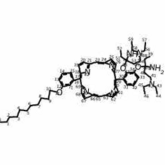 CCCCCCCCCCCOc1cccc(C2=C3C=CC(=N3)C=C3C=CC(=N3)C(c3cccc(OC(N)(CC)CCN(CC)CC)c3OC(N)(CC)CCN(CC)CC)=C3C=CC(=N3)C=C3C=CC2=N3)c1